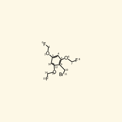 FCOc1cc(OCF)c(CBr)c(OCF)c1